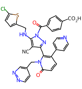 N#Cc1c(-c2c(-c3ccncc3)ccc(=O)n2Cc2ccnnc2)nn(C(=O)c2ccc(C(=O)O)cc2)c1NCc1ccc(Cl)s1